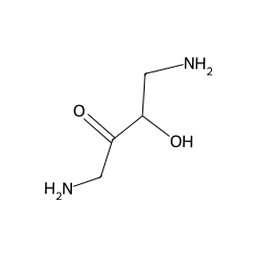 NCC(=O)C(O)CN